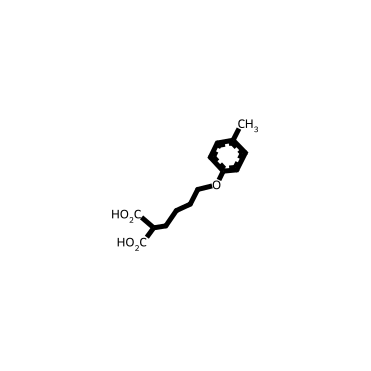 Cc1ccc(OCCCCC(C(=O)O)C(=O)O)cc1